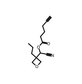 C#CCCCC(=O)OC(C#N)C1(CCC)COC1